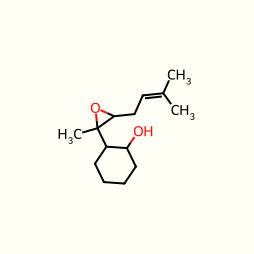 CC(C)=CCC1OC1(C)C1CCCCC1O